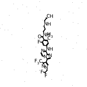 C#CCNCCCNC(=O)c1c(C)cc(Nc2nccn3c(-c4cn(CC(F)F)nc4C(F)(F)F)cnc23)cc1F